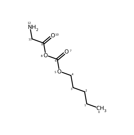 CCCCCOC(=O)OC(=O)CN